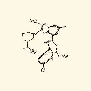 COC(=O)c1nc(Cl)ccc1N[C@H](C)c1cc(C)cc2nc(C#N)c(N3CCC[C@@H]([C@@H](C)O)C3)nc12